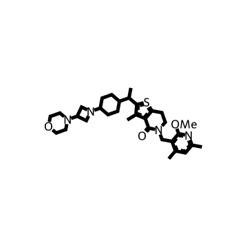 COc1nc(C)cc(C)c1CN1CCc2sc(C(C)C3CCC(N4CC(N5CCOCC5)C4)CC3)c(C)c2C1=O